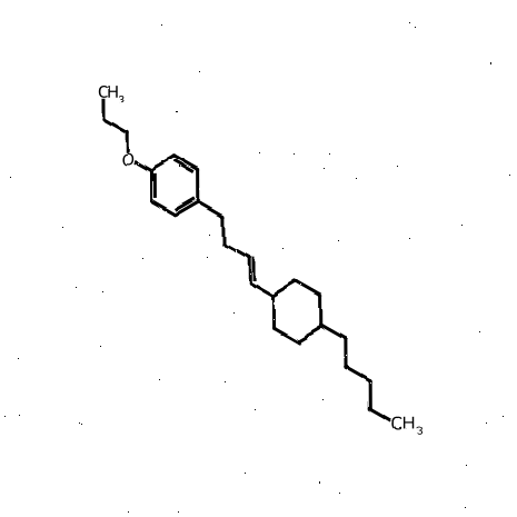 CCCCCC1CCC(C=CCCc2ccc(OCCC)cc2)CC1